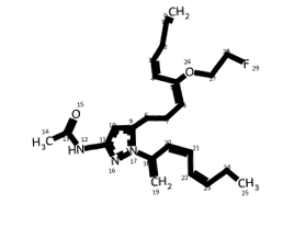 C=CC/C=C\C(=C/CCc1cc(NC(C)=O)nn1C(=C)/C=C\C=C/CC)OCCF